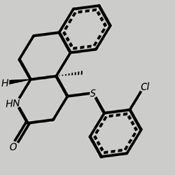 C[C@@]12c3ccccc3CC[C@H]1NC(=O)CC2Sc1ccccc1Cl